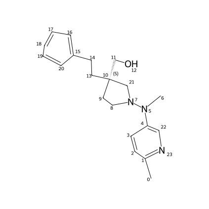 Cc1ccc(N(C)N2CC[C@@](CO)(CCc3ccccc3)C2)cn1